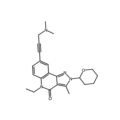 CCn1c(=O)c2c(C)n(C3CCCCO3)nc2c2cc(C#CCN(C)C)ccc21